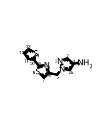 Nc1cnn(Cc2csc(-c3cccs3)n2)c1